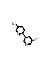 Clc1cn[c]c(-c2ccc(Br)cn2)c1